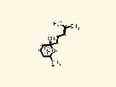 CC(C)=CCCC1(C)OC2(C)CCC1CC2